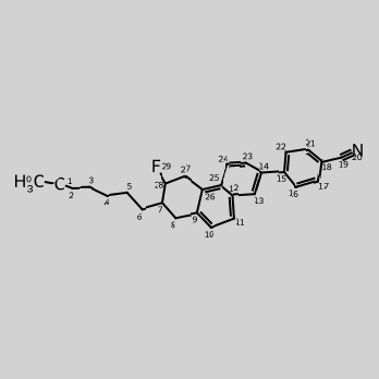 CCCCCCCC1Cc2ccc3cc(-c4ccc(C#N)cc4)ccc3c2CC1F